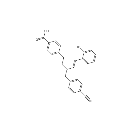 N#Cc1ccc(CC(C=Cc2ccccc2O)CCc2ccc(C(=O)O)cc2)cc1